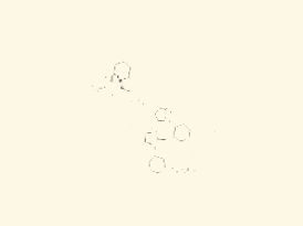 CCP(=O)(CC)c1ccc(-n2ccn(-c3c4c(nn3-c3cc(C)c(F)c(C)c3)CCN(C(=O)c3sc5cc(C6CCOCC6)ccc5c3C3(C(N)=NO)CC3)C4C)c2=O)cc1NC